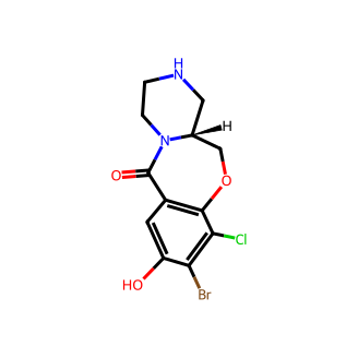 O=C1c2cc(O)c(Br)c(Cl)c2OC[C@H]2CNCCN12